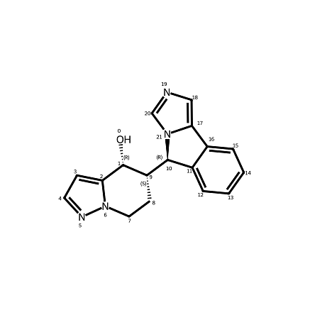 O[C@H]1c2ccnn2CC[C@H]1[C@@H]1c2ccccc2-c2cncn21